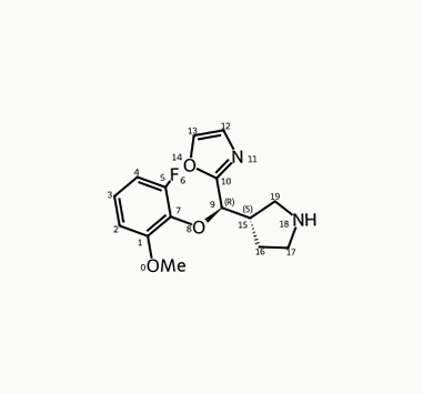 COc1cccc(F)c1O[C@@H](c1ncco1)[C@H]1CCNC1